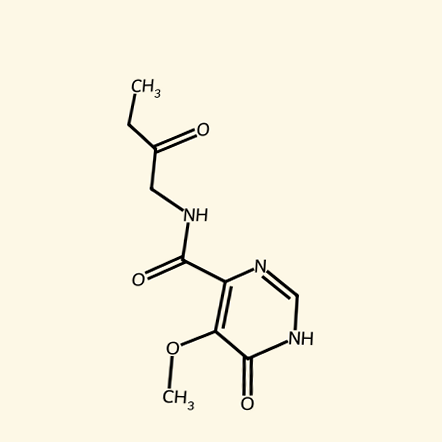 CCC(=O)CNC(=O)c1nc[nH]c(=O)c1OC